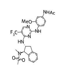 COc1cc(NC(C)=O)ccc1Nc1ncc(C(F)(F)F)c(N[C@@H]2Cc3ccccc3[C@H]2N(C)S(C)(=O)=O)n1